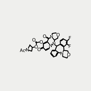 CC(=O)N1CC(OC(=O)Oc2c3n(ccc2=O)N(C2c4ccccc4N4CCOCC4c4c2ccc(F)c4F)C2COCCN2C3=O)C1